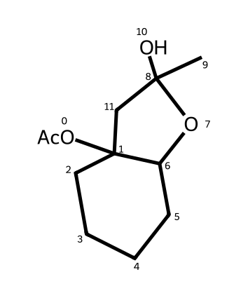 CC(=O)OC12CCCCC1OC(C)(O)C2